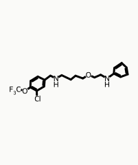 FC(F)(F)Oc1ccc(CNCCCCOCCNc2ccccc2)cc1Cl